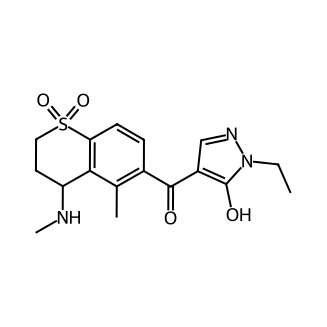 CCn1ncc(C(=O)c2ccc3c(c2C)C(NC)CCS3(=O)=O)c1O